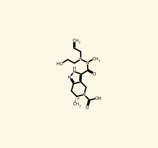 C=CCN(CCO)N(C)C(=O)c1[nH]nc2c1CN(C(=O)O)[C@H](C)C2